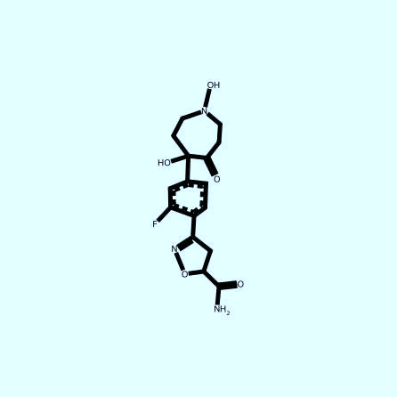 NC(=O)C1CC(c2ccc(C3(O)CCN(O)CCC3=O)cc2F)=NO1